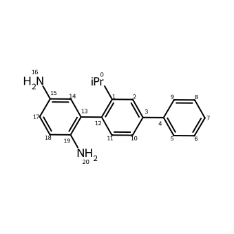 CC(C)c1cc(-c2ccccc2)ccc1-c1cc(N)ccc1N